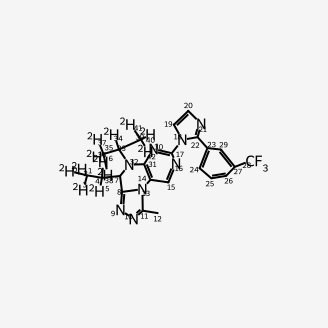 [2H]C([2H])([2H])C([2H])([2H])C1c2nnc(C)n2-c2cnc(-n3ccnc3-c3cccc(C(F)(F)F)c3)nc2N1C([2H])(C([2H])([2H])[2H])C([2H])([2H])[2H]